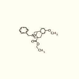 CCOC(=O)C12Cc3cc(OC)ccc3C(CN(Cc3ccccc3)C1)C2=O